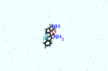 NC(=O)C(Cc1ccccc1)(C1CCC2CNCC21)C(F)(F)F